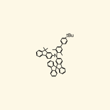 Cc1cc(-c2ccc(C(C)(C)C)cc2)cc(C)c1N(c1ccc2c(c1)C(C)(C)c1ccccc1-2)c1ccc2c(c1)C1(c3ccccc3-c3ccccc31)c1ccccc1-2